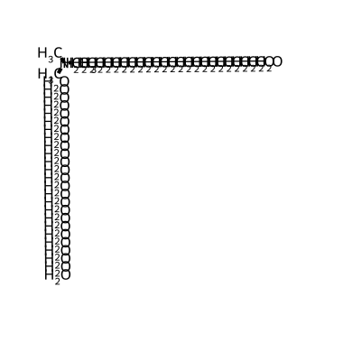 CN(C)C.O.O.O.O.O.O.O.O.O.O.O.O.O.O.O.O.O.O.O.O.O.O.O.O.O.O.O.O.O.O.O.O.O.O.O.O.O.O.O.O.O.O.O.O.O.O.O.O.O.O